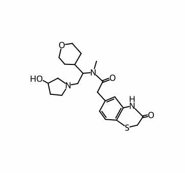 CN(C(=O)Cc1ccc2c(c1)NC(=O)CS2)C(CN1CCC(O)C1)C1CCOCC1